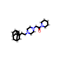 O=C(CN1CCN(CCC23CC4CC(CC(C4)C2)C3)CC1)N1CCCCC1